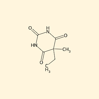 CCC1(C)C(=O)NC(=O)NC1=O